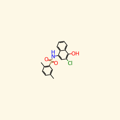 Cc1ccc(C)c(S(=O)(=O)Nc2cc(Cl)c(O)c3ccccc23)c1